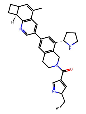 CC1=CC2CC[C@@H]2c2ncc(-c3cc4c(c([C@@H]5CCCN5)c3)CN(C(=O)C3=CC(CC(C)C)N=C3)CC4)cc21